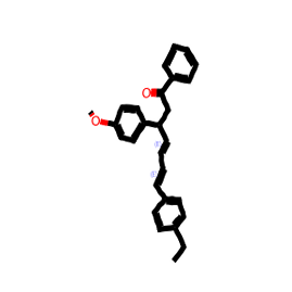 CCc1ccc(/C=C/C=C/C(CC(=O)c2ccccc2)c2ccc(OC)cc2)cc1